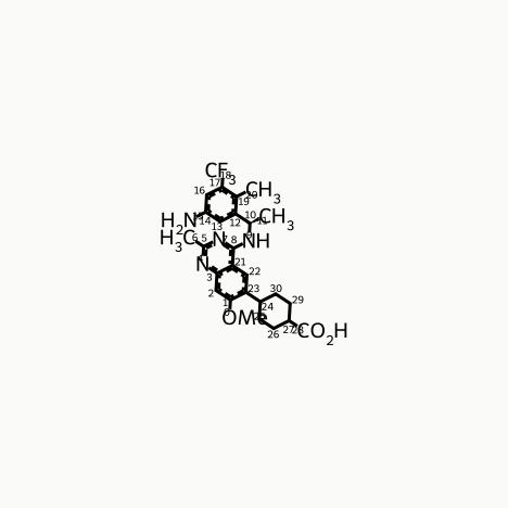 COc1cc2nc(C)nc(N[C@H](C)c3cc(N)cc(C(F)(F)F)c3C)c2cc1C1CCC(C(=O)O)CC1